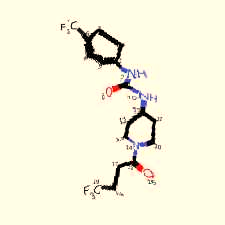 O=C(Nc1ccc(C(F)(F)F)cc1)NC1CCN(C(=O)CCC(F)(F)F)CC1